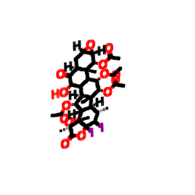 CC(=O)O[C@H]1[C@@H]2[C@H]([C@H](C)C(I)C3(I)OC(=O)[C@@](C)(O)[C@]23C)[C@]2(C)[C@@H]1C1C([C@H](OC(C)=O)[C@@H]2OC(C)=O)[C@]2(C)[C@H](C[C@@H]3O[C@@H]3[C@@H]2OC(C)=O)C(=O)[C@@H]1O